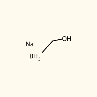 B.CCO.[Na]